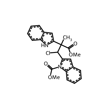 COC(=O)n1c([C](Cl)C(C)(C(=O)OC)c2cc3ccccc3[nH]2)cc2ccccc21